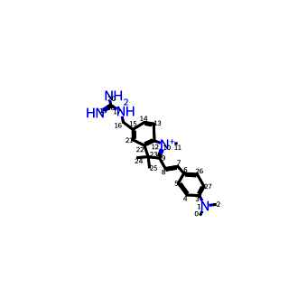 CN(C)c1ccc(C=CC2=[N+](C)c3ccc(CNC(=N)N)cc3C2(C)C)cc1